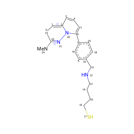 C/C=C1/C=CC=C(c2ccc(CNCCCCS)cc2)N1/N=C(\C)NC